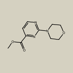 COC(=O)c1ccnc(N2CCOCC2)n1